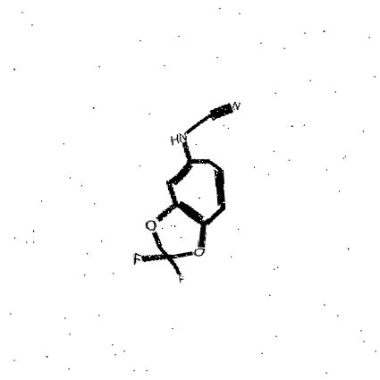 N#CNc1ccc2c(c1)OC(F)(F)O2